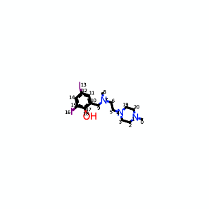 CN1CCN(CCN(C)Cc2cc(I)cc(I)c2O)CC1